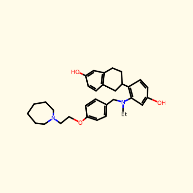 CCN(Cc1ccc(OCCN2CCCCCC2)cc1)c1cc(O)ccc1C1CCc2cc(O)ccc2C1